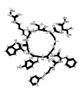 CCNC(=O)[C@@H](NC(=O)[C@@H]1CSSC[C@H](NC(=O)[C@@H](Cc2ccccc2)NC(=O)NCCSSc2ccccn2)C(=O)N[C@@H](Cc2ccc(O)cc2)C(=O)N[C@H](Cc2c[nH]c3ccccc23)C(=O)N[C@@H](CCCCNC(=O)OC(C)(C)C)C(=O)N[C@@H]([C@@H](C)O)C(=O)N1)[C@@H](C)O